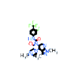 Cc1nn(C)c2ncc(N(C=O)C(=O)Nc3ccc(C(F)(F)F)c(F)c3)c(N3CCN(C)CC3)c12